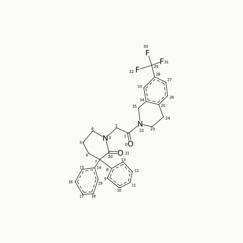 O=C(CN1CCCC(c2ccccc2)(c2ccccc2)C1=O)N1CCc2ccc(C(F)(F)F)cc2C1